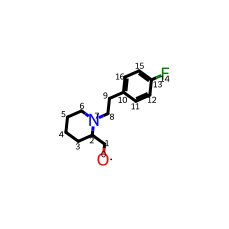 [O]CC1CCCCN1CCc1ccc(F)cc1